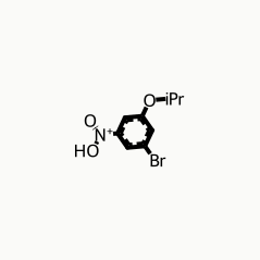 CC(C)Oc1cc(Br)cc([N+](=O)O)c1